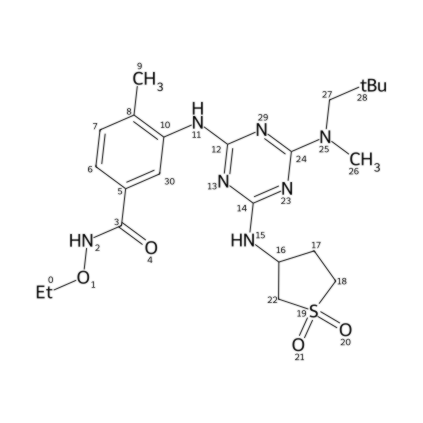 CCONC(=O)c1ccc(C)c(Nc2nc(NC3CCS(=O)(=O)C3)nc(N(C)CC(C)(C)C)n2)c1